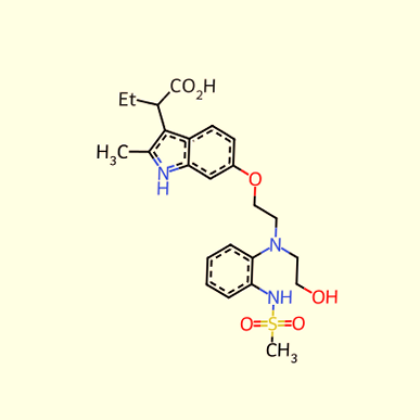 CCC(C(=O)O)c1c(C)[nH]c2cc(OCCN(CCO)c3ccccc3NS(C)(=O)=O)ccc12